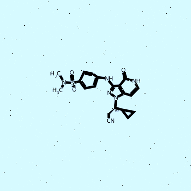 CN(C)S(=O)(=O)c1ccc(Nc2nn([C@H](CC#N)C3CC3)c3cc[nH]c(=O)c23)cc1